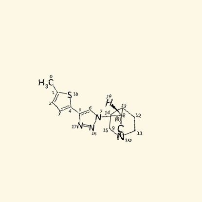 Cc1ccc(-c2cn([C@H]3CN4CCC3CC4)nn2)s1